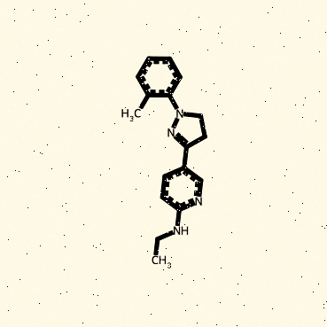 CCNc1ccc(C2=NN(c3ccccc3C)CC2)cn1